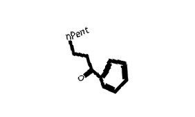 CCCCCCCC(=O)c1ccccc1